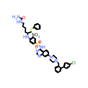 NC(=O)NCCCCC(CSc1ccccc1)Nc1ccc(S(=O)(=O)Nc2ncnc3cc(N4CCN(Cc5ccccc5-c5ccc(Cl)cc5)CC4)ccc23)cc1[N+](=O)[O-]